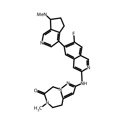 CNC1CCc2c(-c3cc4cc(Nc5cc6n(n5)CC(=O)N(C)CC6)ncc4cc3F)cncc21